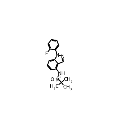 CC(C)(C)[S@+]([O-])Nc1cccc2c1cnn2-c1ccccc1F